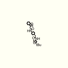 CC(C)(C)c1cc(NC(=O)Cc2ccc(NC(=O)Cc3noc4ccccc34)cc2)no1